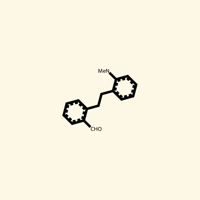 CNc1ccccc1CCc1ccccc1C=O